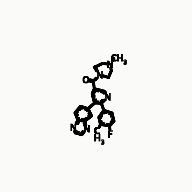 Cc1cc(-c2ncc(C(=O)N3CCN(C)CC3)cc2-c2ccc3nccnc3c2)ccc1F